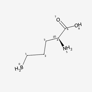 BCCC[C@H](N)C(=O)O